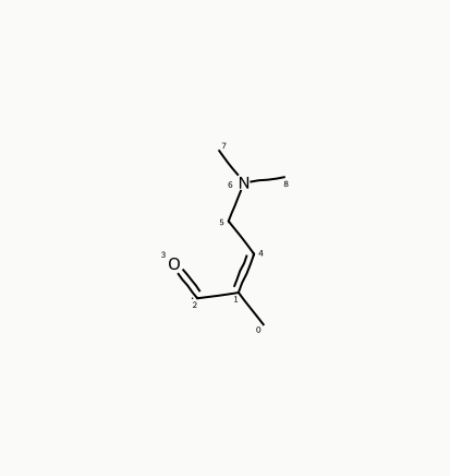 CC([C]=O)=CCN(C)C